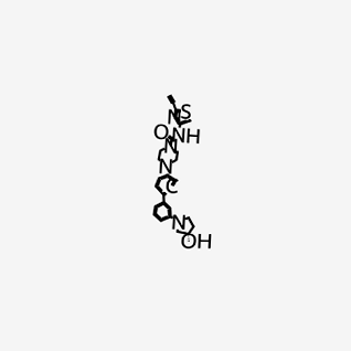 C#Cc1nc(NC(=O)N2CCN(c3ccc(-c4cccc(N5CC[C@H](O)C5)c4)cc3)CC2)cs1